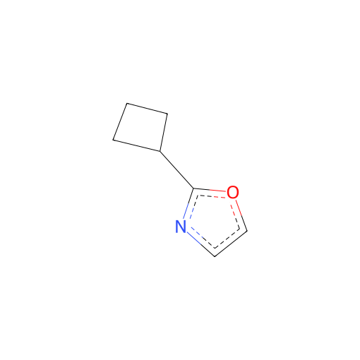 c1coc(C2CCC2)n1